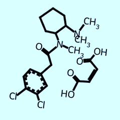 CN(C)C1CCCCC1N(C)C(=O)Cc1ccc(Cl)c(Cl)c1.O=C(O)/C=C\C(=O)O